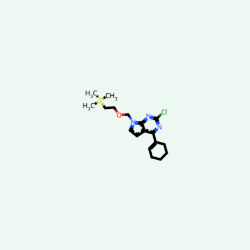 CS(C)(C)CCOCn1ccc2c(C3=CCCCC3)nc(Cl)nc21